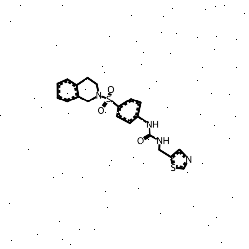 O=C(NCc1cncs1)Nc1ccc(S(=O)(=O)N2CCc3ccccc3C2)cc1